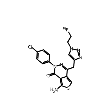 Nc1scc2c(Cc3cn(CC[18F])nn3)nn(-c3ccc(Cl)cc3)c(=O)c12